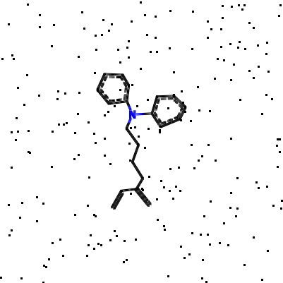 C=CC(=C)CCCCN(c1ccccc1)c1ccccc1